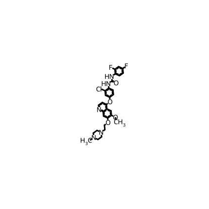 COc1cc2c(Oc3ccc(NC(=O)Nc4ccc(F)cc4F)c(Cl)c3)ccnc2cc1OCCN1CCN(C)CC1